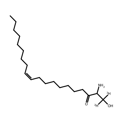 [2H]C([2H])(O)C(N)C(=O)CCCCCCC/C=C\CCCCCCCC